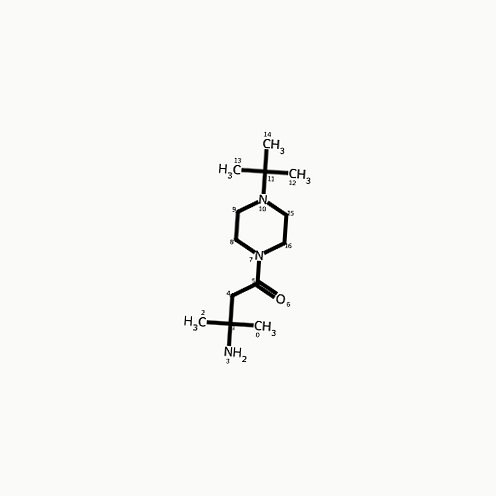 CC(C)(N)CC(=O)N1CCN(C(C)(C)C)CC1